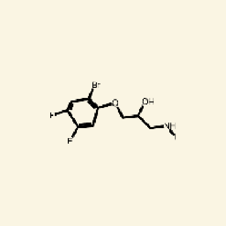 OC(CNI)COc1cc(F)c(F)cc1Br